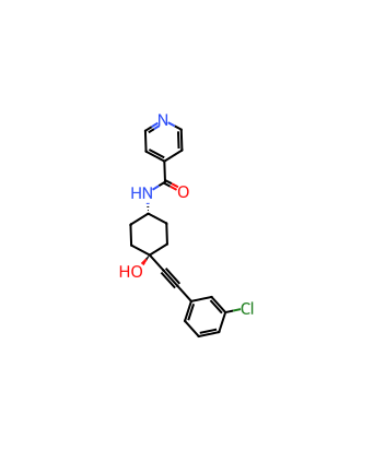 O=C(N[C@H]1CC[C@@](O)(C#Cc2cccc(Cl)c2)CC1)c1ccncc1